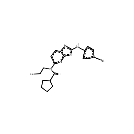 CC(=O)c1ccc(Nc2nc3ccc(N(CCC(C)C)C(=O)C4CCCC4)nc3[nH]2)cc1